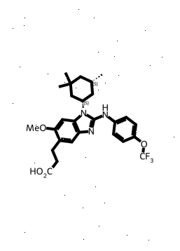 COc1cc2c(cc1CCC(=O)O)nc(Nc1ccc(OC(F)(F)F)cc1)n2[C@H]1C[C@@H](C)CC(C)(C)C1